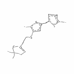 Cc1ccc(-c2cc(SCC3=CCC(C)(C)S3)c(C)s2)s1